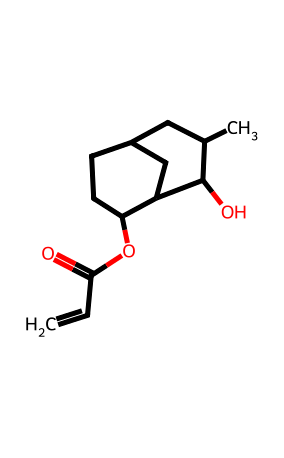 C=CC(=O)OC1CCC2CC(C)C(O)C1C2